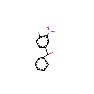 O=[N+]([O-])c1cc(C(O)c2ccccc2)ccc1Cl